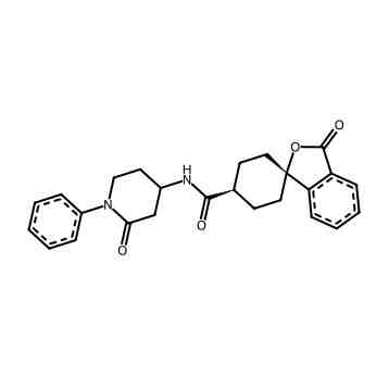 O=C1O[C@]2(CC[C@H](C(=O)NC3CCN(c4ccccc4)C(=O)C3)CC2)c2ccccc21